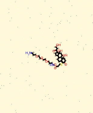 CC12CCC(=O)C(SCCC(=O)ONCCCOCCOCCOCCCN)=C1CCC1C2C(O)CC2(C)C1CC[C@]2(O)C(=O)CCO